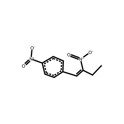 CC/C(=C/c1ccc([N+](=O)[O-])cc1)[N+](=O)[O-]